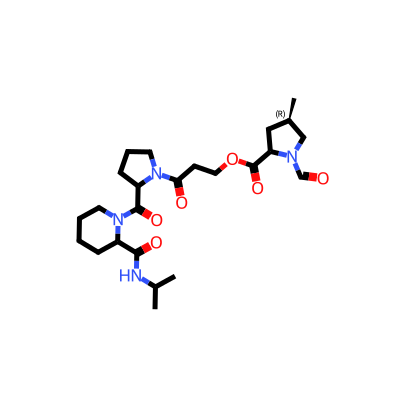 CC(C)NC(=O)C1CCCCN1C(=O)C1CCCN1C(=O)CCOC(=O)C1C[C@@H](C)CN1C=O